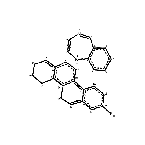 C1=CNc2ccccc2C=N1.Fc1ccc2c(c1)=CCc1c3c(ccc1=2)=CCCC3